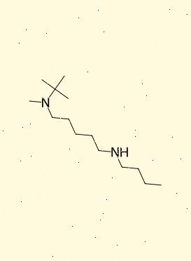 CCCCNCCCCCN(C)C(C)(C)C